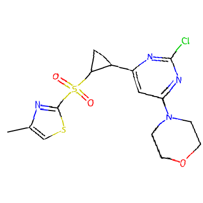 Cc1csc(S(=O)(=O)C2CC2c2cc(N3CCOCC3)nc(Cl)n2)n1